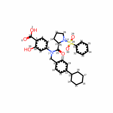 O=C(O)c1ccc(N(Cc2ccc(C3CCCCC3)cc2)C(=O)[C@H]2CCCN2S(=O)(=O)c2ccccc2)cc1O